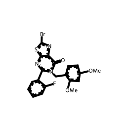 COc1ccc(Cn2c(-c3ccccc3F)nc3sc(Br)nc3c2=O)c(OC)c1